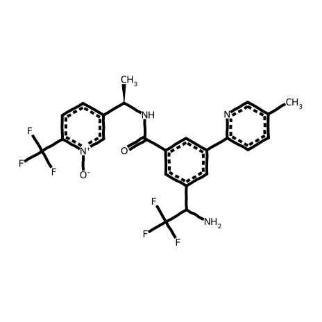 Cc1ccc(-c2cc(C(=O)N[C@H](C)c3ccc(C(F)(F)F)[n+]([O-])c3)cc(C(N)C(F)(F)F)c2)nc1